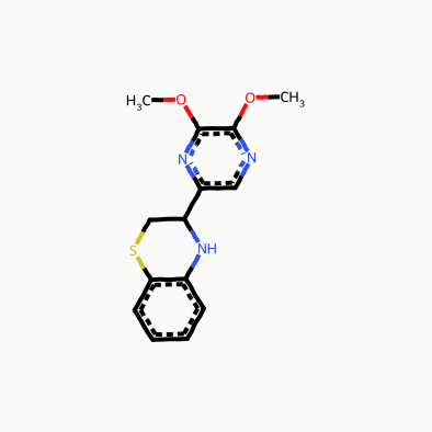 COc1ncc(C2CSc3ccccc3N2)nc1OC